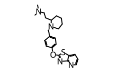 CN(C)CCC1CCCCN1Cc1ccc(Oc2nc3ncccc3s2)cc1